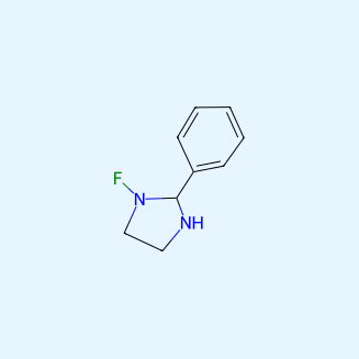 FN1CCNC1c1ccccc1